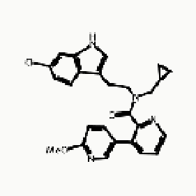 COc1ccc(-c2cccnc2C(=O)N(CCc2c[nH]c3cc(Cl)ccc23)CC2CC2)cn1